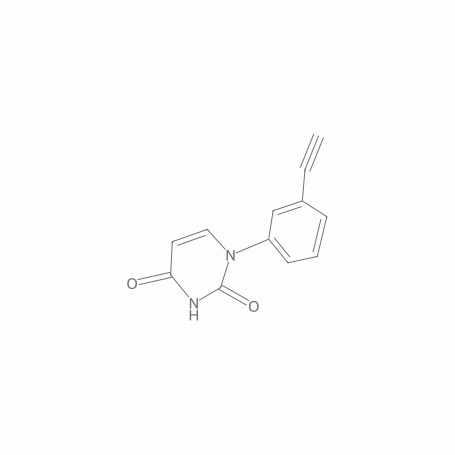 C#Cc1cccc(-n2ccc(=O)[nH]c2=O)c1